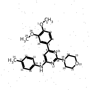 COc1ccc(-c2cc(Nc3ccc(C)cc3)nc(N3CCOCC3)n2)cc1OC